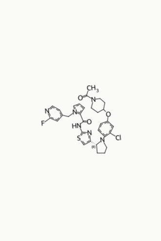 CC(=O)N1CCC(Oc2ccc(N3CCC[C@@H]3c3csc(NC(=O)c4cccn4Cc4ccnc(F)c4)n3)c(Cl)c2)CC1